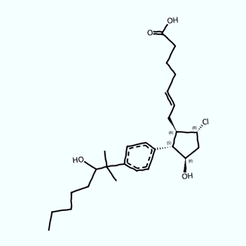 CCCCCC(O)C(C)(C)c1ccc([C@@H]2[C@@H](CC=CCCCC(=O)O)[C@H](Cl)C[C@H]2O)cc1